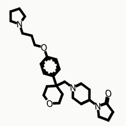 O=C1CCCN1C1CCN(CC2(c3ccc(OCCCN4CCCC4)cc3)CCOCC2)CC1